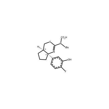 CC(C)(C)N(C(=O)O)C1=N[C@@]2(c3ccc(F)c(O)c3)CCC[C@H]2CS1